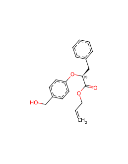 C=CCOC(=O)[C@H](Cc1ccccc1)Oc1ccc(CO)cc1